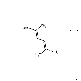 CC(C)=C/C=C(\C)C=O